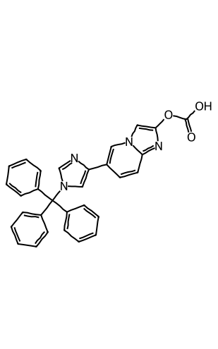 O=C(O)Oc1cn2cc(-c3cn(C(c4ccccc4)(c4ccccc4)c4ccccc4)cn3)ccc2n1